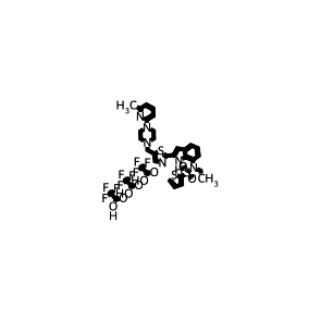 CCN(c1cccc2cc(-c3ncc(CN4CCN(c5cccc(C)n5)CC4)s3)[nH]c12)S(=O)(=O)c1cccs1.O=C(O)C(F)(F)F.O=C(O)C(F)(F)F.O=C(O)C(F)(F)F